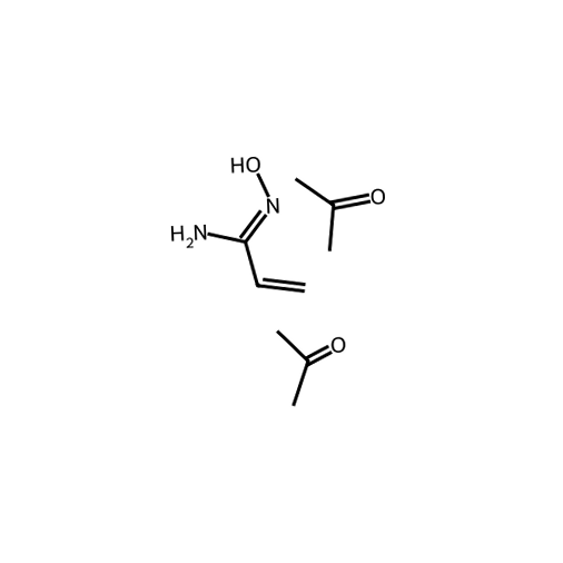 C=CC(N)=NO.CC(C)=O.CC(C)=O